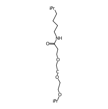 CC(C)CCCCNC(=O)CCOCCOCCOC(C)C